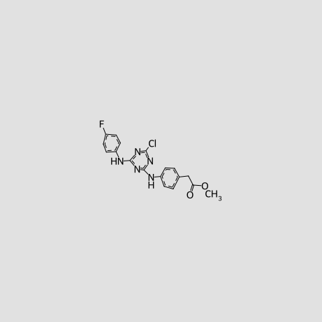 COC(=O)Cc1ccc(Nc2nc(Cl)nc(Nc3ccc(F)cc3)n2)cc1